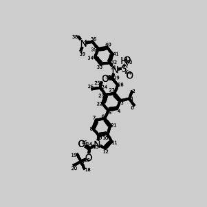 CC(C)c1cc(-c2ccc3c(ccn3C(=O)OC(C)(C)C)c2)cc(C(C)C)c1CC(=O)N(c1ccc(CN(C)C)cc1)[SH](=O)=O